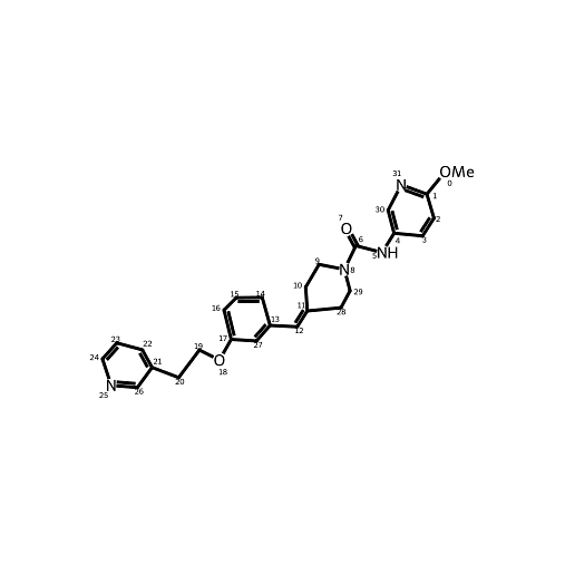 COc1ccc(NC(=O)N2CCC(=Cc3cccc(OCCc4cccnc4)c3)CC2)cn1